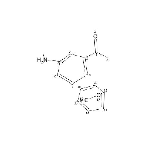 CC(=O)c1cccc(N)c1.c1cc2ccc1CO2